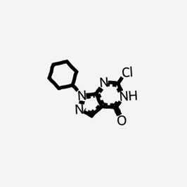 O=c1[nH]c(Cl)nc2c1cnn2C1CCCCC1